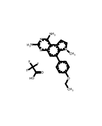 CCOc1ccc(-c2cc3nc(N)nc(N)c3c3ccn(C)c23)cc1.O=C(O)C(F)(F)F